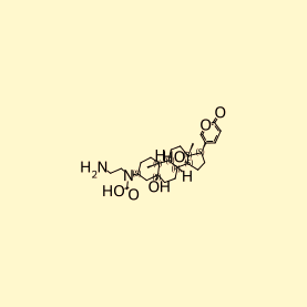 C[C@]12CC[C@H](N(CCN)C(=O)O)C[C@@]1(O)CC[C@@H]1[C@@H]2CC[C@]2(C)[C@@H](c3ccc(=O)oc3)CC[C@]12O